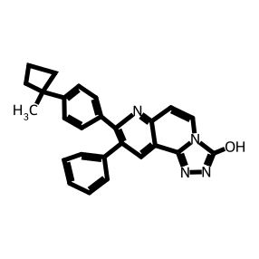 CC1(c2ccc(-c3nc4ccn5c(O)nnc5c4cc3-c3ccccc3)cc2)CCC1